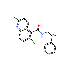 Cc1ccc2c(C(=O)NC[C@H](C)c3ccccc3)c(Cl)ccc2n1